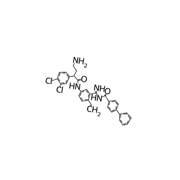 C=Cc1ccc(NC(=O)C(CCN)c2ccc(Cl)c(Cl)c2)cc1C(=N)NC(=O)c1ccc(-c2ccccc2)cc1